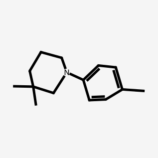 Cc1ccc(N2CCCC(C)(C)C2)cc1